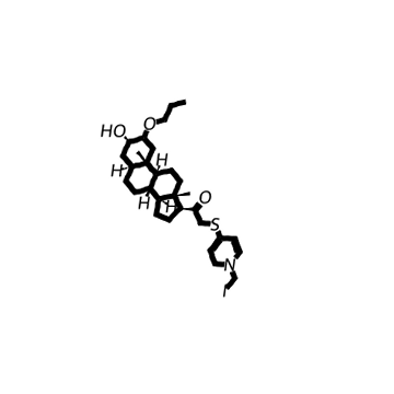 CCCOC1C[C@@]2(C)[C@@H](CC[C@@H]3[C@@H]2CC[C@]2(C)[C@@H](C(=O)CSC4=CCN(CI)C=C4)CC[C@@H]32)C[C@@H]1O